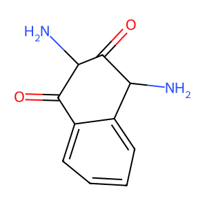 NC1C(=O)c2ccccc2C(N)C1=O